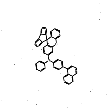 c1ccc(N(c2ccc(-c3cccc4ccccc34)cc2)c2ccc3c(c2)Oc2ccccc2C32c3ccccc3-c3ccccc32)cc1